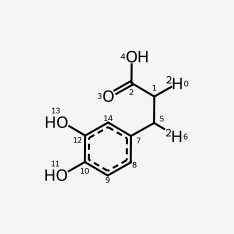 [2H]C(C(=O)O)C([2H])c1ccc(O)c(O)c1